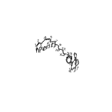 CCCCC/C=C\C/C=C\CCCCCCCCOC1CCOC1=O